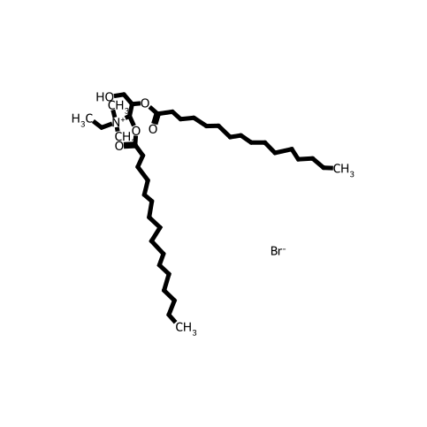 CCCCCCCCCCCCCCCC(=O)OC(CO)C(OC(=O)CCCCCCCCCCCCCCC)[N+](C)(C)CC.[Br-]